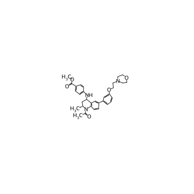 COC(=O)c1ccc(N[C@@H]2C[C@H](C)N(C(C)=O)c3ccc(-c4cccc(OCCN5CCOCC5)c4)cc32)cc1